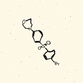 CC(C)c1ccc(S(=O)(=O)c2ccc(N3CCOCC3)cc2)cc1